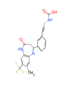 Cc1cc2c(cc1C(F)(F)F)NC(=O)CC(c1cccc(C#CCNC(=O)O)c1)=N2